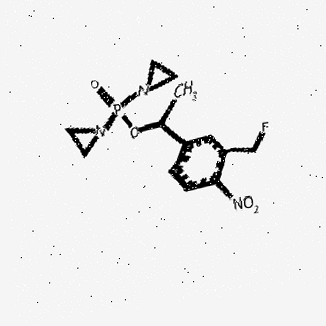 CC(OP(=O)(N1CC1)N1CC1)c1ccc([N+](=O)[O-])c(CF)c1